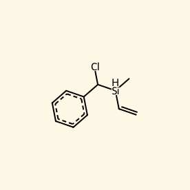 C=C[SiH](C)C(Cl)c1ccccc1